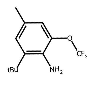 Cc1cc(OC(F)(F)F)c(N)c(C(C)(C)C)c1